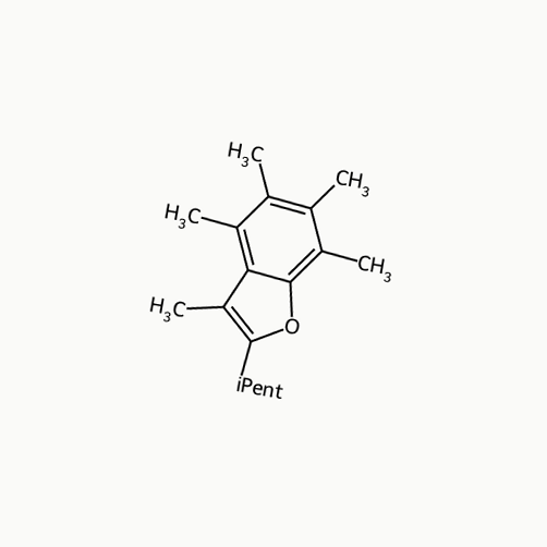 CCCC(C)c1oc2c(C)c(C)c(C)c(C)c2c1C